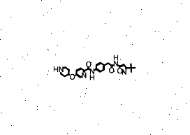 CC(C)(C)c1cc(NC(=O)Cc2ccc(NC(=O)c3ccc(OC4CCNCC4)cn3)cc2)on1